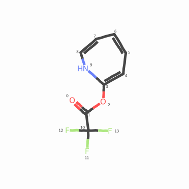 O=C(OC1=CC=CC=CN1)C(F)(F)F